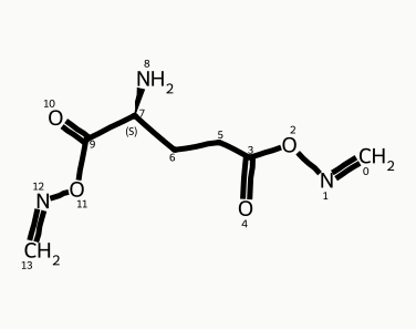 C=NOC(=O)CC[C@H](N)C(=O)ON=C